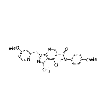 COc1ccc(NC(=O)c2cnc3c(c(C)nn3Cc3cc(OC)ncn3)c2Cl)cc1